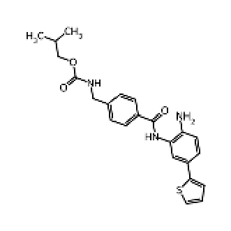 CC(C)COC(=O)NCc1ccc(C(=O)Nc2cc(-c3cccs3)ccc2N)cc1